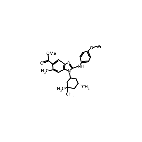 COC(=O)c1cc2nc(Nc3ccc(OC(C)C)cc3)n(C3C[C@H](C)CC(C)(C)C3)c2cc1C